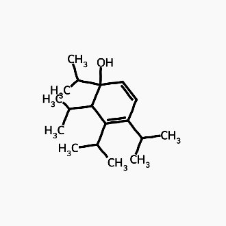 CC(C)C1=C(C(C)C)C(C(C)C)C(O)(C(C)C)C=C1